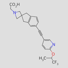 CC(Oc1ccc(C#Cc2ccc3c(c2)CC2(C3)CN(CC(=O)O)C2)cn1)C(F)(F)F